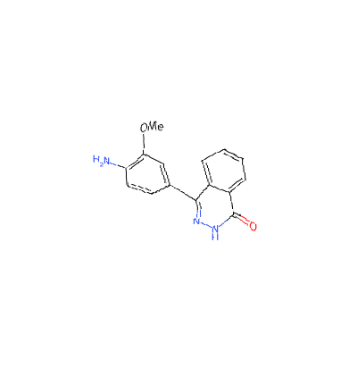 COc1cc(-c2n[nH]c(=O)c3ccccc23)ccc1N